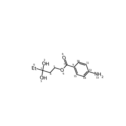 CCC(O)(O)CCOC(=O)c1ccc(N)cc1